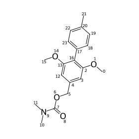 COc1cc(COC(=O)N(C)C)cc(OC)c1-c1ccc(C)cc1